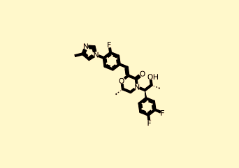 Cc1cn(-c2ccc(/C=C3\O[C@@H](C)CN([C@H](c4ccc(F)c(F)c4)[C@@H](C)O)C3=O)cc2F)cn1